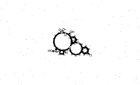 O=S1(=O)CCCCC/C(=N\O)[C@@H]2CC[C@H]2CN2CCCCc3cc(Cl)ccc3COc3ccc(cc32)C(O)N1